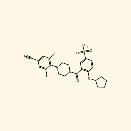 CS(=O)(=O)c1ccc(OC2CCCC2)c(C(=O)N2CCN(c3c(F)cc(C#N)cc3F)CC2)c1